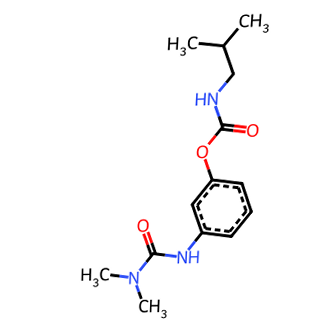 CC(C)CNC(=O)Oc1cccc(NC(=O)N(C)C)c1